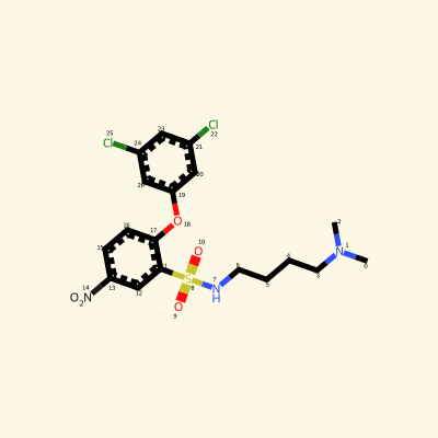 CN(C)CCCCNS(=O)(=O)c1cc([N+](=O)[O-])ccc1Oc1cc(Cl)cc(Cl)c1